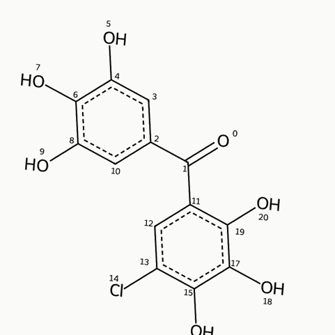 O=C(c1cc(O)c(O)c(O)c1)c1cc(Cl)c(O)c(O)c1O